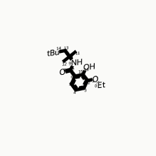 CCOc1cccc(C(=O)NC(C)(C)CC(C)(C)C)c1O